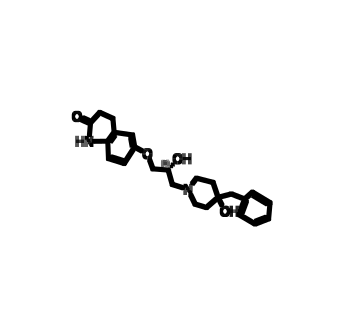 O=C1CCc2cc(OC[C@H](O)CN3CCC(O)(Cc4ccccc4)CC3)ccc2N1